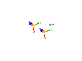 N#P([O-])Cl.N#P([O-])Cl.[Sr+2]